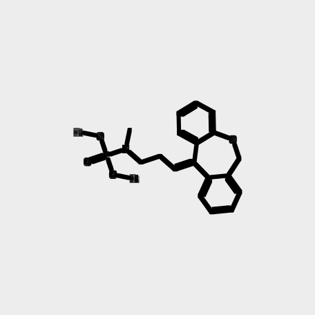 CCOP(=O)(OCC)N(C)CCC=C1c2ccccc2COc2ccccc21